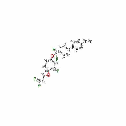 CCCc1ccc(-c2ccc(C(F)(F)Oc3ccc(O/C=C/C(F)F)c(F)c3)cc2)cc1